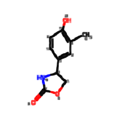 Cc1cc(C2COC(=O)N2)ccc1O